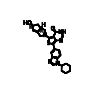 O=c1[nH]cnc2c(-c3ccc4c(c3)ncn4C3CCCCC3)sc(N3CC4=C[C@@H](O)C[C@@H]4C3)c12